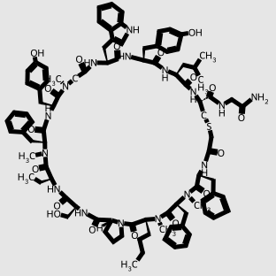 CCCC[C@H]1C(=O)N2CCC[C@@H]2C(=O)N[C@@H](CO)C(=O)N[C@@H](CC)C(=O)N(C)[C@@H](Cc2ccccc2)C(=O)N[C@@H](Cc2ccc(O)cc2)C(=O)N(C)CC(=O)N[C@@H](Cc2c[nH]c3ccccc23)C(=O)N[C@@H](Cc2ccc(O)cc2)C(=O)N[C@@H](CC(C)C)C(=O)N[C@H](C(=O)NCC(N)=O)CSCC(=O)N[C@@H](Cc2ccccc2)C(=O)N(C)[C@@H](Cc2ccccc2)C(=O)N1C